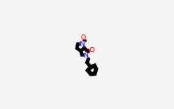 O=CN1CCC2CN(CCc3ccccc3)C(=O)C21